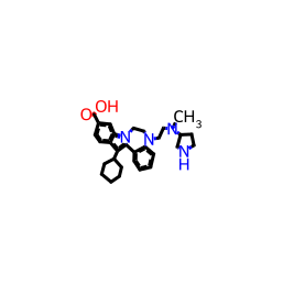 CN(CCN1CCn2c(c(C3CCCCC3)c3ccc(C(=O)O)cc32)-c2ccccc21)C1CCNC1